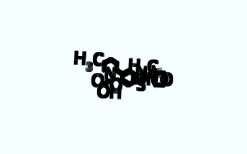 CC1CCC(c2ccc3sc(N4CCOC[C@@H]4C)nc3c2)N(C(=O)C(=O)O)C1